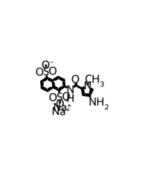 Cn1cc(N)cc1C(=O)Nc1ccc2c(S(=O)(=O)[O-])cccc2c1S(=O)(=O)[O-].[Na+].[Na+]